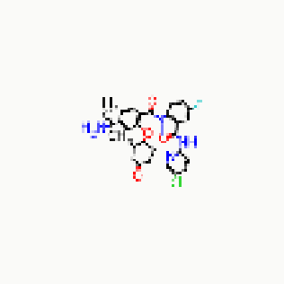 CC(C)(N)c1ccc(C(=O)Nc2ccc(F)cc2C(=O)Nc2ccc(Cl)cn2)c(OC2CCC(=O)CC2)c1